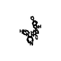 COc1ccc2[nH]c(-n3ccc(C(=O)Nc4cnccc4N4CCNCC4)n3)cc2c1